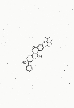 CC(C)[Si](Oc1ccc2c(c1)OCC(N1CCC(O)(c3ccccc3)CC1)C2O)(C(C)C)C(C)C